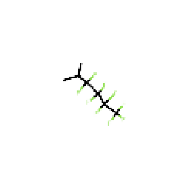 C[C](C)C(F)(F)C(F)(F)C(F)(F)C(F)(F)F